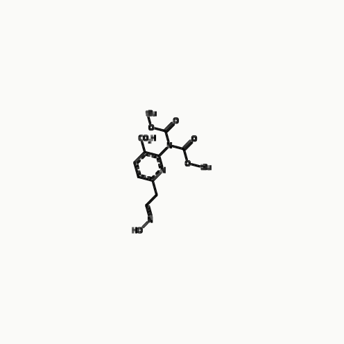 CC(C)(C)OC(=O)N(C(=O)OC(C)(C)C)c1nc(CC=NO)ccc1C(=O)O